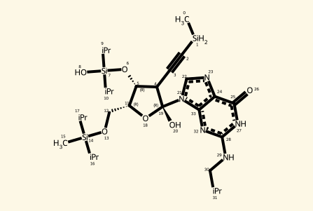 C[SiH2]C#CC1[C@@H](O[Si](O)(C(C)C)C(C)C)[C@@H](CO[Si](C)(C(C)C)C(C)C)O[C@@]1(O)n1cnc2c(=O)[nH]c(NCC(C)C)nc21